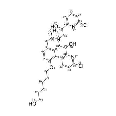 C[C@H](Cc1ccc(OCCCCCCO)cc1)N(CC(O)c1cccc(Cl)n1)CC(O)c1cccc(Cl)n1